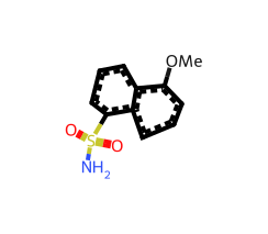 COc1cccc2c(S(N)(=O)=O)cccc12